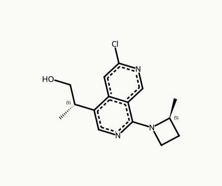 C[C@H](CO)c1cnc(N2CC[C@@H]2C)c2cnc(Cl)cc12